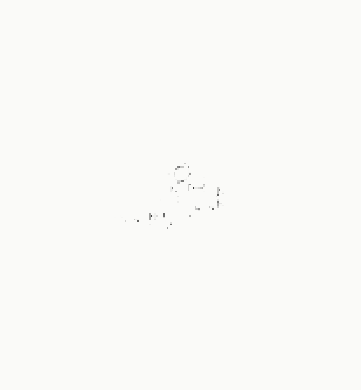 NC1NN2CC(F)CN=C2C1C(=O)Nc1cncc(F)c1N1CCC(C(=O)N2CCN(C3CCC3)CC2)CC1